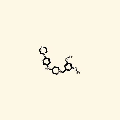 CC(C)Oc1cc(CN2CCC(Nc3ccc(N4CCOCC4)nc3)CC2)cc(OC(C)C)c1